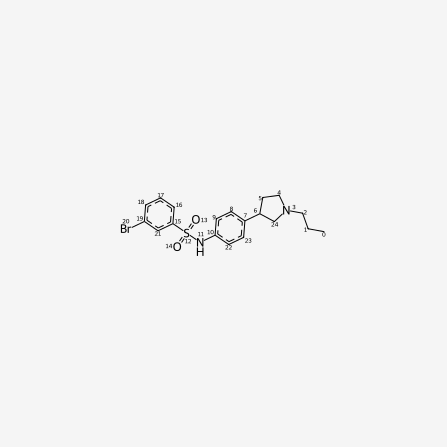 CCCN1CCC(c2ccc(NS(=O)(=O)c3cccc(Br)c3)cc2)C1